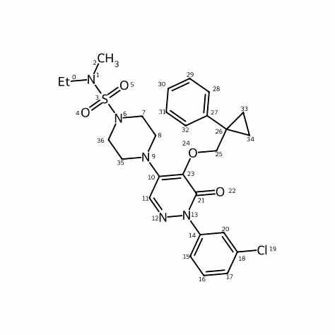 CCN(C)S(=O)(=O)N1CCN(c2cnn(-c3cccc(Cl)c3)c(=O)c2OCC2(c3ccccc3)CC2)CC1